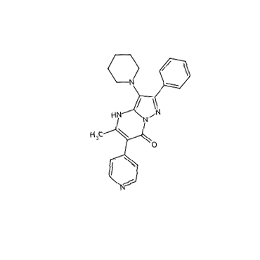 Cc1[nH]c2c(N3CCCCC3)c(-c3ccccc3)nn2c(=O)c1-c1ccncc1